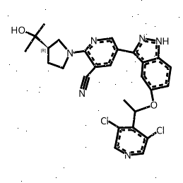 CC(Oc1ccc2[nH]nc(-c3cnc(N4CC[C@@H](C(C)(C)O)C4)c(C#N)c3)c2c1)c1c(Cl)cncc1Cl